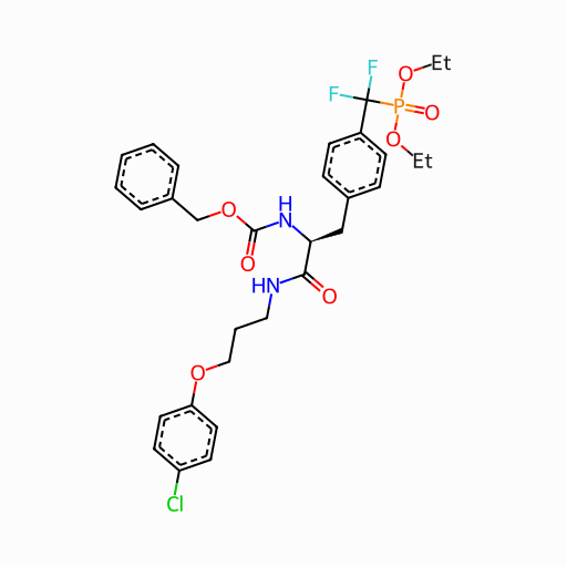 CCOP(=O)(OCC)C(F)(F)c1ccc(C[C@H](NC(=O)OCc2ccccc2)C(=O)NCCCOc2ccc(Cl)cc2)cc1